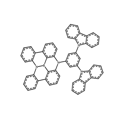 c1ccc2c(c1)-c1cccc3c1B1c4c(cccc4N3c3cc(-n4c5ccccc5c5ccccc54)cc(-n4c5ccccc5c5ccccc54)c3)-c3ccccc3N12